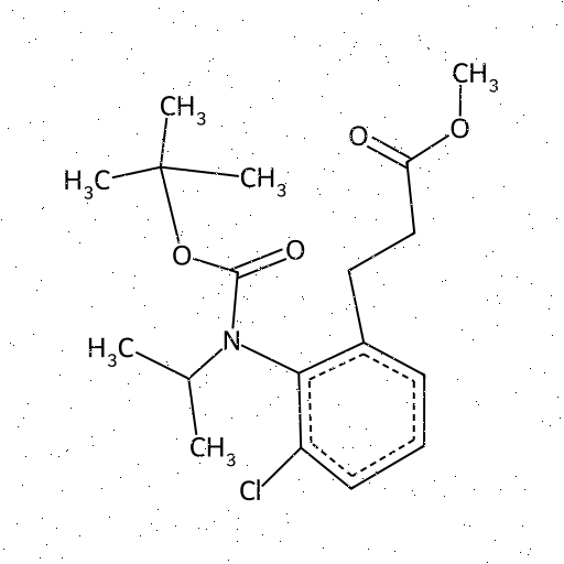 COC(=O)CCc1cccc(Cl)c1N(C(=O)OC(C)(C)C)C(C)C